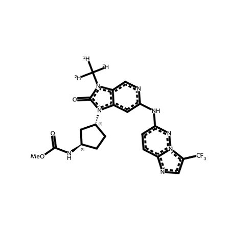 [2H]C([2H])([2H])n1c(=O)n([C@@H]2CC[C@@H](NC(=O)OC)C2)c2cc(Nc3ccc4ncc(C(F)(F)F)n4n3)ncc21